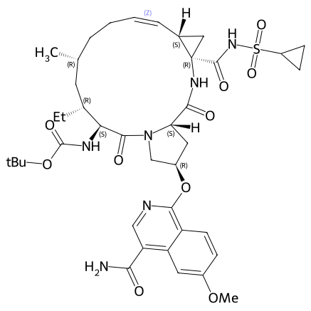 CC[C@@H]1C[C@H](C)CC/C=C\[C@@H]2C[C@@]2(C(=O)NS(=O)(=O)C2CC2)NC(=O)[C@@H]2C[C@@H](Oc3ncc(C(N)=O)c4cc(OC)ccc34)CN2C(=O)[C@H]1NC(=O)OC(C)(C)C